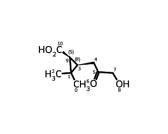 CC1(C)[C@H](CC(=O)CO)[C@@H]1C(=O)O